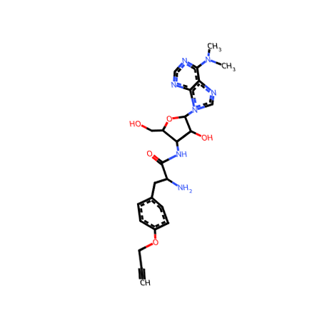 C#CCOc1ccc(CC(N)C(=O)NC2C(CO)OC(n3cnc4c(N(C)C)ncnc43)C2O)cc1